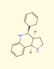 C1=CCC([C@@H]2Nc3ccccc3[C@@H]3NCC[C@@H]32)C=C1